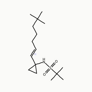 CC(C)(C)CCC/C=C/C1(NS(=O)(=O)C(C)(C)C)CC1